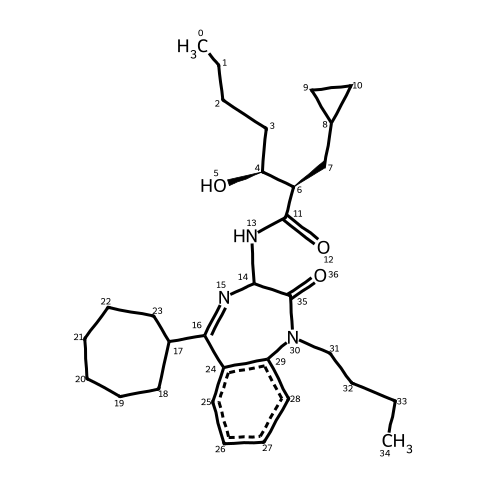 CCCC[C@H](O)[C@@H](CC1CC1)C(=O)NC1N=C(C2CCCCCC2)c2ccccc2N(CCCC)C1=O